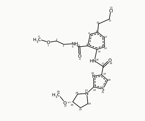 COCCNC(=O)c1cc(CCCl)ccc1NC(=O)c1csc(N2CC[C@H](OC)C2)n1